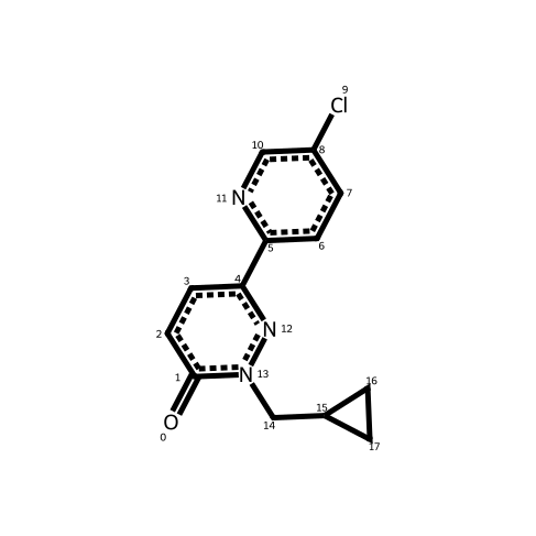 O=c1ccc(-c2ccc(Cl)cn2)nn1CC1CC1